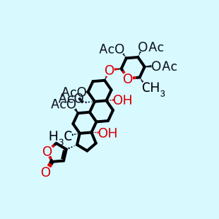 CC(=O)OC[C@@]12C3C(CC[C@]1(O)C[C@@H](O[C@@H]1O[C@@H](C)[C@H](OC(C)=O)[C@@H](OC(C)=O)[C@H]1OC(C)=O)C[C@H]2OC(C)=O)[C@@]1(O)CC[C@H](C2=CC(=O)OC2)[C@@]1(C)C[C@H]3OC(C)=O